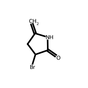 C=C1CC(Br)C(=O)N1